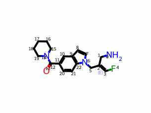 NC/C(=C\F)Cn1ccc2cc(C(=O)N3CCCCC3)ccc21